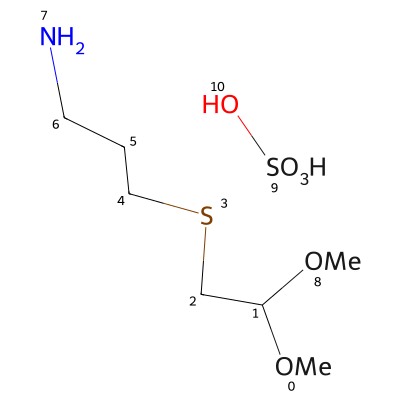 COC(CSCCCN)OC.O=S(=O)(O)O